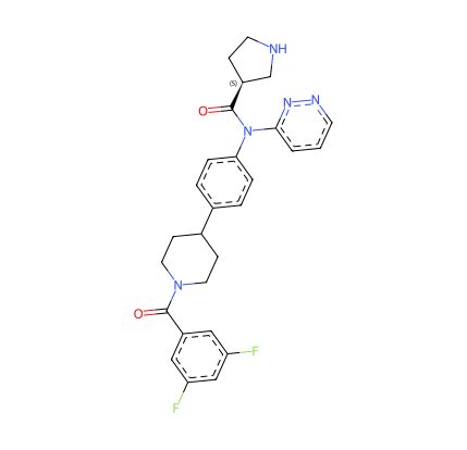 O=C(c1cc(F)cc(F)c1)N1CCC(c2ccc(N(C(=O)[C@H]3CCNC3)c3cccnn3)cc2)CC1